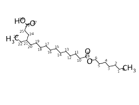 CCCCCCCOC(=O)CCCCCCCCCCCC(CC)CCC(=O)O